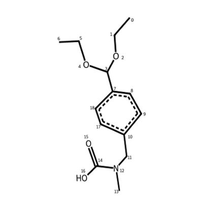 CCOC(OCC)c1ccc(CN(C)C(=O)O)cc1